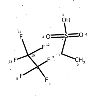 CCS(=O)(=O)O.FC(F)(F)C(F)(F)F